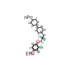 CCCC1CCC(C2CCC(CC(F)(F)COc3ccc(OCC)c(F)c3F)CC2)CC1